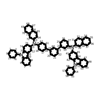 c1ccc(-n2c3ccccc3c3cc(N(c4ccc(-c5cccc(-c6cccc(N(c7ccc8ccccc8c7)c7ccc8c(c7)c7ccccc7n8-c7ccccc7)c6)c5)cc4)c4ccc5ccccc5c4)ccc32)cc1